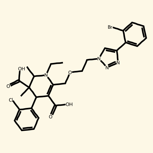 CCN1C(COCCn2cc(-c3ccccc3Br)nn2)=C(C(=O)O)C(c2ccccc2Cl)C(C)(C(=O)O)C1C